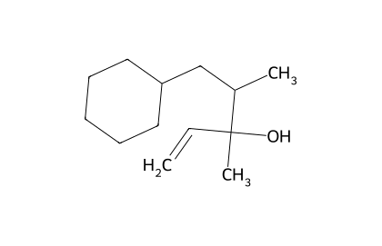 C=CC(C)(O)C(C)CC1CCCCC1